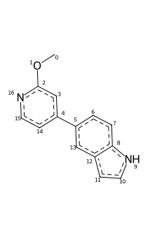 COc1cc(-c2ccc3[nH]ccc3c2)ccn1